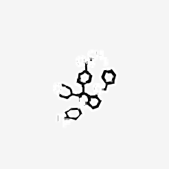 COC(=O)c1ccc(-c2c(C3CCOCC3)n(C3CCC(F)(F)CC3)c3cccc(OCc4ccccc4)c23)cc1